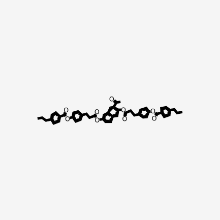 CCCc1ccc(C(=O)Oc2ccc(CCC(=O)Oc3ccc4cc(OC(=O)CCc5ccc(OC(=O)c6ccc(CCC)cc6)cc5)c(C(C)=O)cc4c3)cc2)cc1